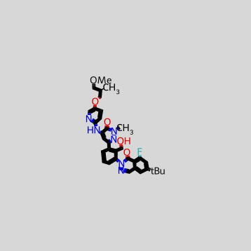 COC[C@H](C)COc1ccc(Nc2cc(-c3cccc(-n4ncc5cc(C(C)(C)C)cc(F)c5c4=O)c3CO)nn(C)c2=O)nc1